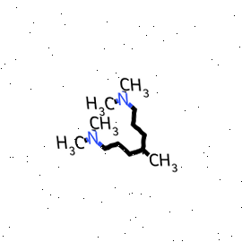 C[C](CCCN(C)C)CCCN(C)C